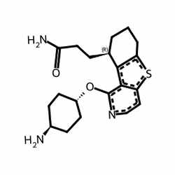 NC(=O)CC[C@H]1CCCc2sc3ccnc(O[C@H]4CC[C@H](N)CC4)c3c21